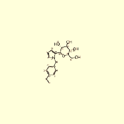 CCc1ccc(Cn2cccc2C2OC(CO)[C@@H](O)C(O)[C@H]2O)cc1